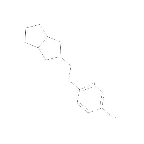 O=Nc1ccc(CCN2CC3CCCC3C2)nc1